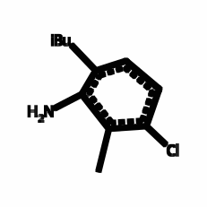 CCC(C)c1ccc(Cl)c(C)c1N